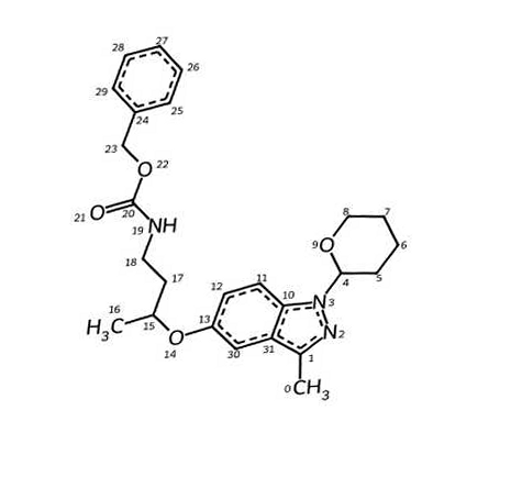 Cc1nn(C2CCCCO2)c2ccc(OC(C)CCNC(=O)OCc3ccccc3)cc12